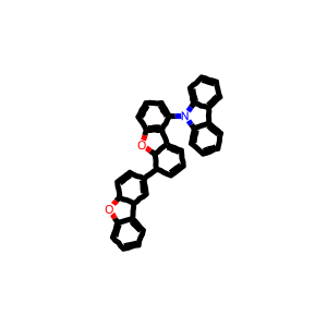 C1=CC(C2=CC3c4ccccc4OC3C=C2)C2Oc3cccc(-n4c5ccccc5c5ccccc54)c3C2=C1